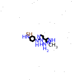 CN1NCC(C2=CC=NC(N[C@H]3CC[C@H](NS)CC3)N2)=C1N